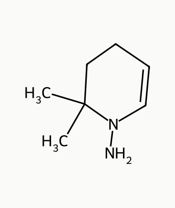 CC1(C)CCC=CN1N